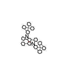 c1ccc(-c2ccc(N(c3ccc4c(c3)C3(c5ccccc5-c5ccccc53)c3ccccc3-4)c3ccccc3-c3ccc4c5ccccc5n(-c5ccc6c(c5)-c5ccccc5C6(c5ccccc5)c5ccccc5)c4c3)cc2)cc1